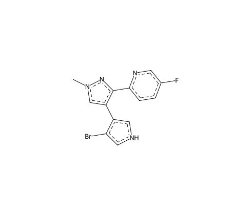 Cn1cc(-c2c[nH]cc2Br)c(-c2ccc(F)cn2)n1